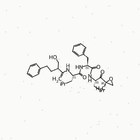 C=C(N[C@@H](CC(C)C)C(=O)N[C@@H](Cc1ccccc1)C(=O)N[C@@H](CC(C)C)C(=O)[C@@]1(C)CO1)C(CO)CCc1ccccc1